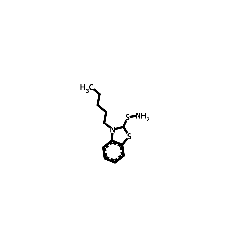 CCCCCN1c2ccccc2SC1SN